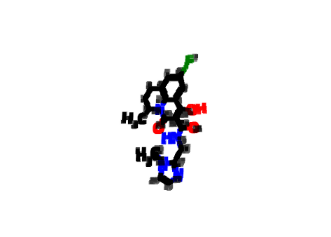 CC1CCc2cc(F)cc3c(O)c(C(=O)NCc4nccn4C)c(=O)n1c23